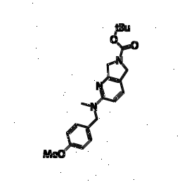 COc1ccc(CN(C)c2ccc3c(n2)CN(C(=O)OC(C)(C)C)C3)cc1